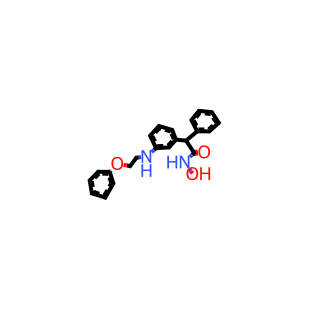 O=C(NO)C(c1ccccc1)c1cccc(NCCOc2ccccc2)c1